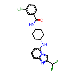 O=C(N[C@H]1CC[C@@H](Nc2cccc3nc(C(F)F)cn23)CC1)c1cccc(Cl)c1